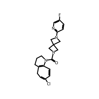 O=C(N1CC2(C1)CN(c1ccc(F)cn1)C2)N1CCCC2=C1C=CC(Cl)=CC2